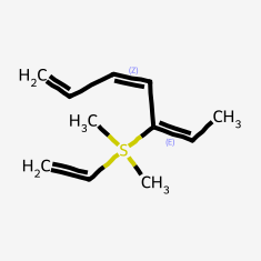 C=C/C=C\C(=C/C)S(C)(C)C=C